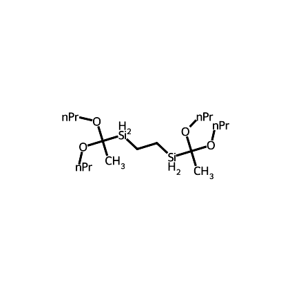 CCCOC(C)(OCCC)[SiH2]CC[SiH2]C(C)(OCCC)OCCC